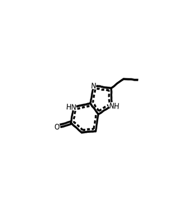 CCc1nc2[nH]c(=O)ccc2[nH]1